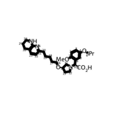 COc1ccc(OC(C)C)cc1[C@@H](C(=O)O)N1CC[C@@H](OCCCCCc2ccc3c(n2)NCCC3)C1